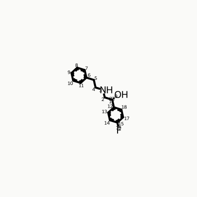 O[C@H](CNCCc1ccccc1)c1ccc(F)cc1